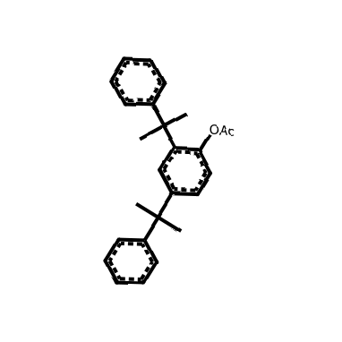 CC(=O)Oc1ccc(C(C)(C)c2ccccc2)cc1C(C)(C)c1ccccc1